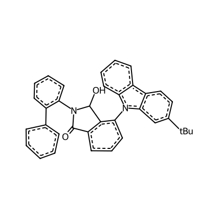 CC(C)(C)c1ccc2c3ccccc3n(-c3cccc4c3C(O)N(c3ccccc3-c3ccccc3)C4=O)c2c1